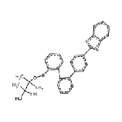 CC(C)(O)C(C)(C)OBc1ccccc1-c1ccccc1-c1ccc(-c2nc3ccccc3s2)cc1